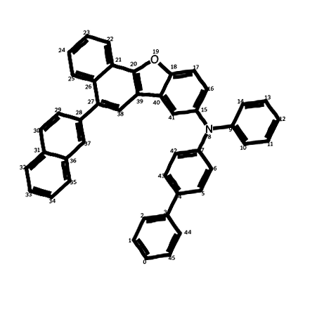 c1ccc(-c2ccc(N(c3ccccc3)c3ccc4oc5c6ccccc6c(-c6ccc7ccccc7c6)cc5c4c3)cc2)cc1